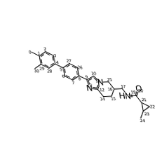 Cc1ccc(-c2ccc(-c3cn4c(n3)CCC(CNC(=O)C3CC3C)C4)cc2)cc1C